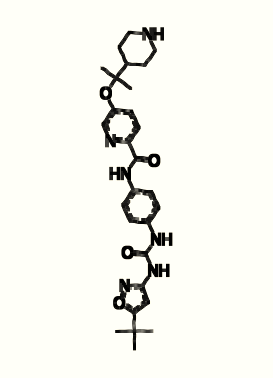 CC(C)(C)c1cc(NC(=O)Nc2ccc(NC(=O)c3ccc(OC(C)(C)C4CCNCC4)cn3)cc2)no1